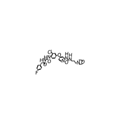 O=C(Cc1ccc(F)cc1)NC(=O)Nc1ccc(Oc2ccnc(NC(=O)NCCCN3CCOCC3)c2)cc1Cl